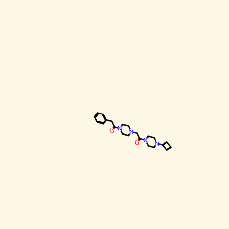 O=C(Cc1ccccc1)N1CCN(CC(=O)N2CCN(C3CCC3)CC2)CC1